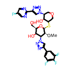 CO[C@@H]1[C@@H](n2cc(-c3cc(F)c(F)c(F)c3)nn2)[C@@H](O)[C@@H](CO)O[C@H]1S[C@@H]1COC[C@H](n2cc(-c3ncc(F)cn3)nn2)[C@H]1O